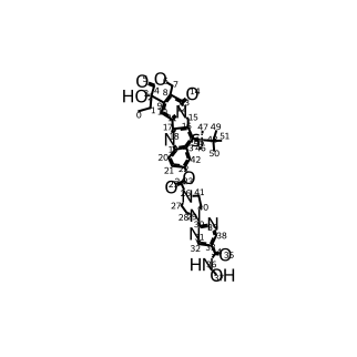 CC[C@@]1(O)C(=O)OCc2c1cc1n(c2=O)Cc2c-1nc1ccc(OC(=O)N3CCN(c4ncc(C(=O)NO)cn4)CC3)cc1c2[Si](C)(C)C(C)(C)C